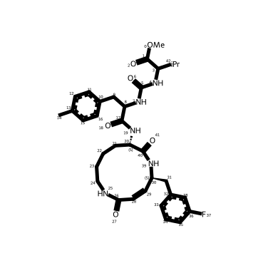 COC(=O)C(NC(=O)NC(Cc1ccc(C)cc1)C(=O)N[C@H]1CCCCNC(=O)C=C[C@H](Cc2cccc(F)c2)NC1=O)C(C)C